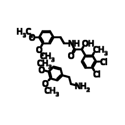 COc1ccc(CCN)cc1OC.COc1ccc(CCNC(=O)C(O)c2ccc(Cl)c(Cl)c2C)cc1OC